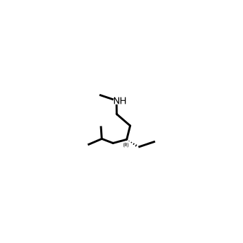 CC[C@@H](CCNC)CC(C)C